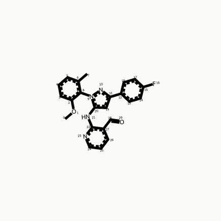 COc1cccc(C)c1-n1nc(-c2ccc(F)cc2)cc1Nc1ncccc1C=O